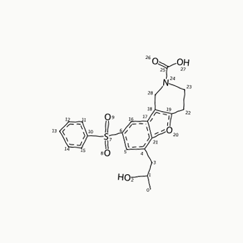 CC(O)Cc1cc(S(=O)(=O)c2ccccc2)cc2c3c(oc12)CCN(C(=O)O)C3